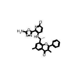 Cc1cc([C@@H](C)Nc2ccc(Cl)nc2-c2nnc(N)o2)c2oc(-c3ccccc3)c(C)c(=O)c2c1